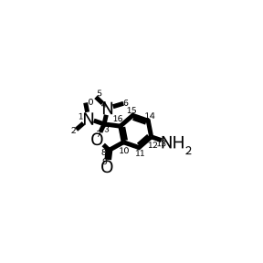 CN(C)C1(N(C)C)OC(=O)c2cc(N)ccc21